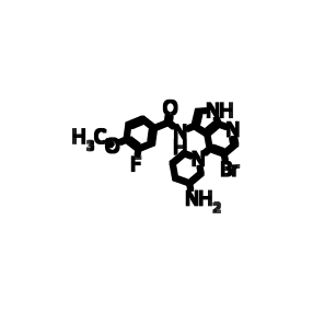 COc1ccc(C(=O)Nc2c[nH]c3ncc(Br)c(N4CCCC(N)C4)c23)cc1F